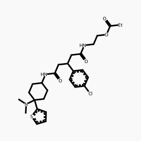 CCC(=O)OCCNC(=O)CC(CC(=O)NC1CCC(c2cccs2)(N(C)C)CC1)c1ccc(Cl)cc1